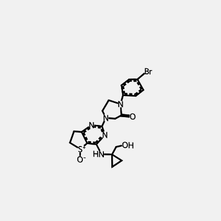 O=C1CN(c2nc3c(c(NC4(CO)CC4)n2)[S+]([O-])CC3)CCN1c1ccc(Br)cc1